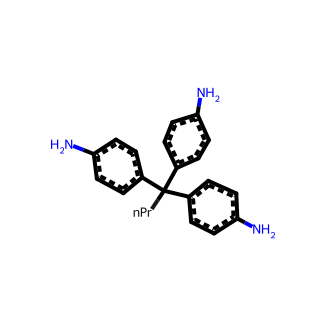 CCCC(c1ccc(N)cc1)(c1ccc(N)cc1)c1ccc(N)cc1